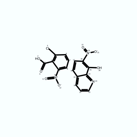 O=C(O)c1c(Cl)cccc1[N+](=O)[O-].O=[N+]([O-])c1ccc2cccnc2c1O